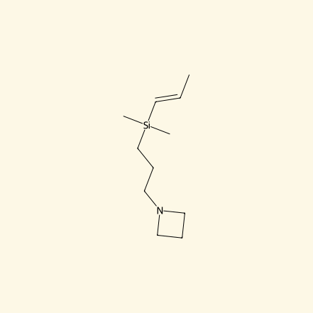 CC=C[Si](C)(C)CCCN1CCC1